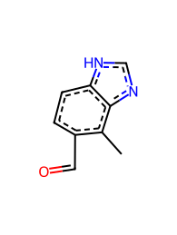 Cc1c(C=O)ccc2[nH]cnc12